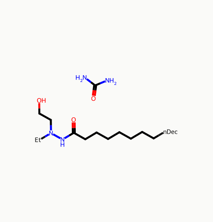 CCCCCCCCCCCCCCCCCC(=O)NN(CC)CCO.NC(N)=O